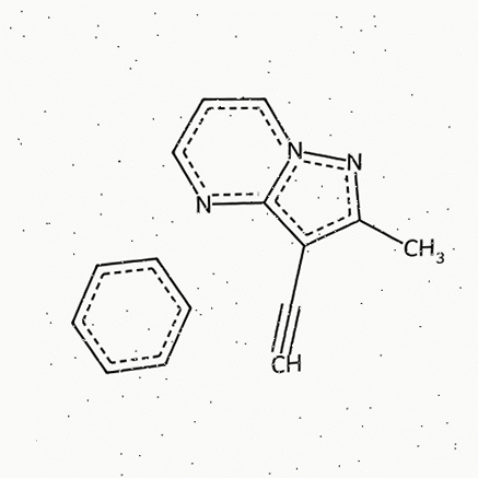 C#Cc1c(C)nn2cccnc12.c1ccccc1